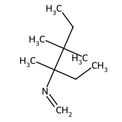 C=NC(C)(CC)C(C)(C)CC